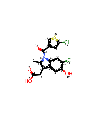 Cc1c(CC(=O)O)c2cc(O)c(Cl)cc2n1C(=O)c1csc(Cl)c1